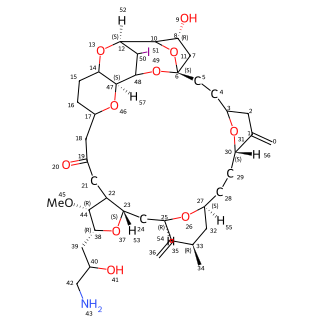 C=C1CC2CC[C@]34C[C@@H](O)C(O3)[C@@H]3OC5CCC(CC(=O)CC6[C@H](C[C@H]7O[C@@H](CC[C@@H]1O2)C[C@@H](C)C7=C)O[C@H](CC(O)CN)[C@@H]6OC)O[C@@H]5C(O4)C3I